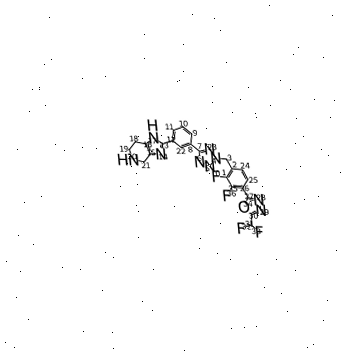 Fc1c(Cn2nnc(-c3cccc(-c4nc5c([nH]4)CCNC5)c3)n2)ccc(-c2nnc(C(F)F)o2)c1F